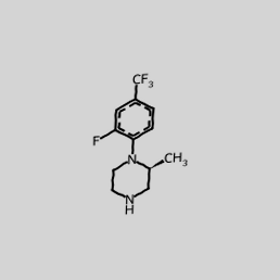 C[C@H]1CNCCN1c1ccc(C(F)(F)F)cc1F